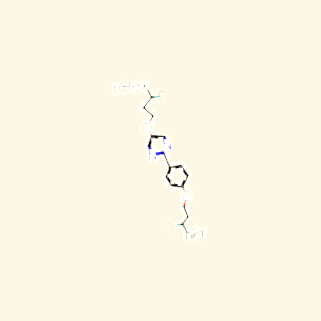 CCCCCCC(F)CCOc1cnc(-c2ccc(OCCC(F)CCC)cc2)nc1